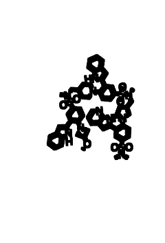 COC1CN(c2ccc(S(=O)(=O)N(C)CC3CCN(c4ccc(S(=O)(=O)N(C)CC5CCN(c6ccc(S(=O)(=O)N(C)C)cc6-c6cc7cccnc7[nH]6)C5)cc4-c4cc5ccccc5[nH]4)CC3)cc2-c2cc3ccccc3[nH]2)C1